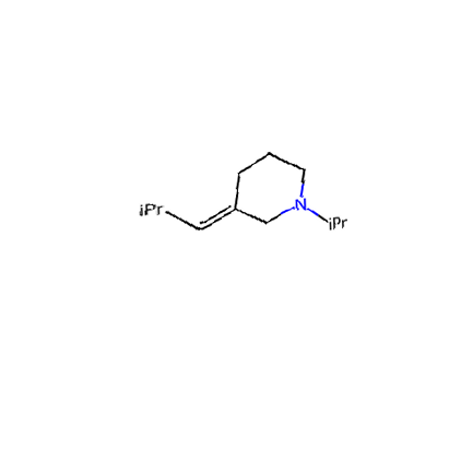 CC(C)/C=C1\CCCN(C(C)C)C1